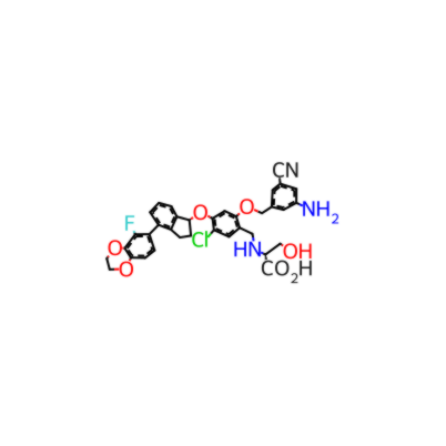 N#Cc1cc(N)cc(COc2cc(O[C@H]3CCc4c(-c5ccc6c(c5F)OCCO6)cccc43)c(Cl)cc2CN[C@@H](CO)C(=O)O)c1